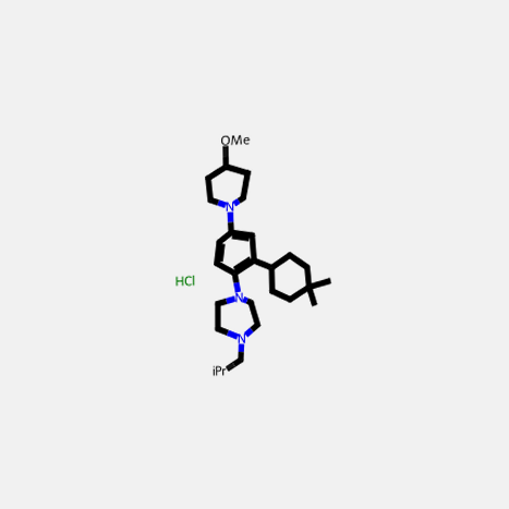 COC1CCN(c2ccc(N3CCN(CC(C)C)CC3)c(C3CCC(C)(C)CC3)c2)CC1.Cl